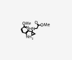 COC(=O)CNC1(c2nc(OC)ccc2N)CC1